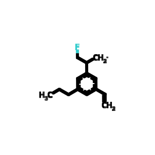 [CH2]C(CF)c1cc(C=C)cc(CCC)c1